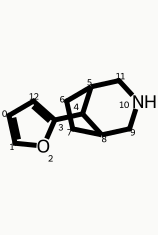 c1coc(C2C3CCC2CNC3)c1